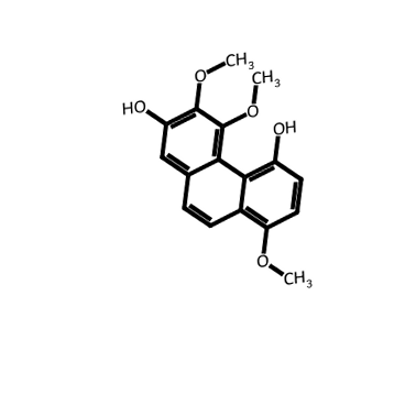 COc1c(O)cc2ccc3c(OC)ccc(O)c3c2c1OC